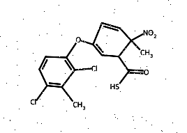 Cc1c(Cl)ccc(OC2=CC(C(=O)S)C(C)([N+](=O)[O-])C=C2)c1Cl